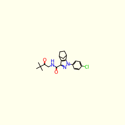 CC(C)(C)C(=O)CNC(=O)c1nn(-c2ccc(Cl)cc2)c2c1C1CCC2C1